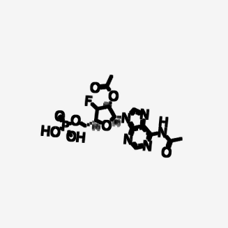 CC(=O)Nc1ncnc2c1ncn2[C@@H]1O[C@H](COP(=O)(O)O)C(F)[C@@H]1OC(C)=O